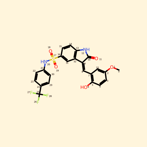 COc1ccc(O)c(C=C2C(=O)Nc3ccc(S(=O)(=O)Nc4ccc(C(F)(F)F)cc4)cc32)c1